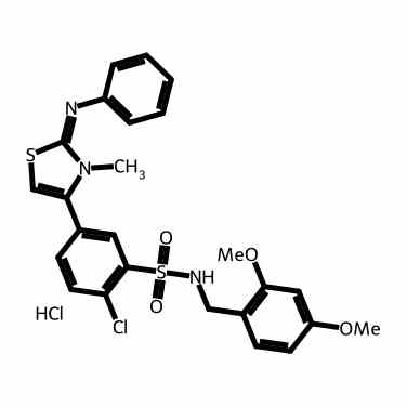 COc1ccc(CNS(=O)(=O)c2cc(-c3csc(=Nc4ccccc4)n3C)ccc2Cl)c(OC)c1.Cl